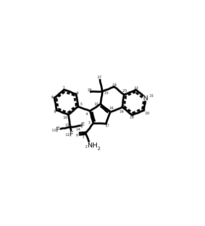 C=C(N)C1=C(c2ccccc2C(F)(F)F)C2=C(C1)c1ccncc1CC2(C)C